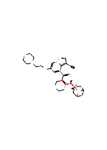 N#Cc1cnn2cc(OCCN3CCOCC3)cc(-c3ccc(N4CC5CC(C4)N5S(=O)(=O)CC4CCOCC4)nc3)c12